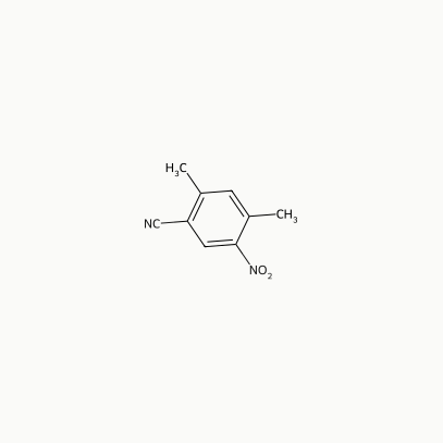 Cc1cc(C)c([N+](=O)[O-])cc1C#N